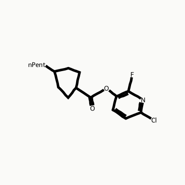 CCCCCC1CCC(C(=O)Oc2ccc(Cl)nc2F)CC1